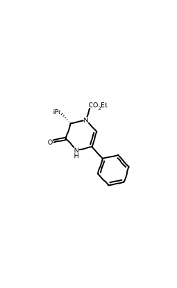 CCOC(=O)N1C=C(c2ccccc2)NC(=O)[C@@H]1C(C)C